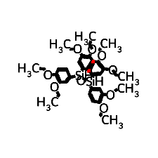 CCOc1ccc([SiH](O[SiH](c2ccc(OCC)c(OCC)c2)c2ccc(OCC)c(OCC)c2)c2ccc(OCC)c(OCC)c2)cc1OCC